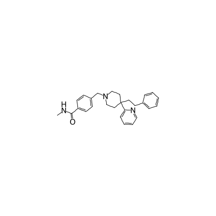 CNC(=O)c1ccc(CN2CCC(CCc3ccccc3)(c3ccccn3)CC2)cc1